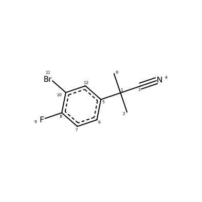 CC(C)(C#N)c1ccc(F)c(Br)c1